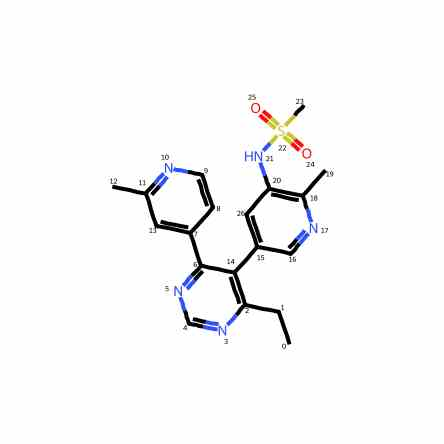 CCc1ncnc(-c2ccnc(C)c2)c1-c1cnc(C)c(NS(C)(=O)=O)c1